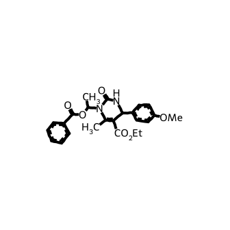 CCOC(=O)C1=C(C)N(C(C)OC(=O)c2ccccc2)C(=O)NC1c1ccc(OC)cc1